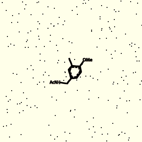 COc1ccc(CNC(C)=O)cc1C